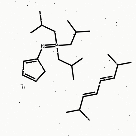 CC(C)C=CC=CC(C)C.CC(C)CP(CC(C)C)(CC(C)C)=NC1=CC=CC1.[Ti]